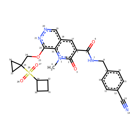 Cn1c(=O)c(C(=O)NCc2ccc(C#N)cc2)cc2cnnc(OCC3(S(=O)(=O)C4CCC4)CC3)c21